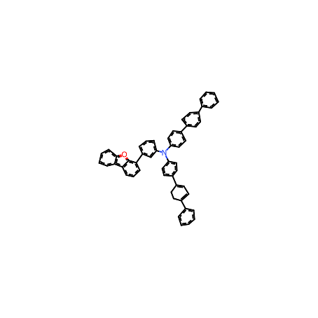 C1=C(c2ccccc2)CCC(c2ccc(N(c3ccc(-c4ccc(-c5ccccc5)cc4)cc3)c3cccc(-c4cccc5c4oc4ccccc45)c3)cc2)=C1